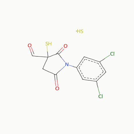 O=CC1(S)CC(=O)N(c2cc(Cl)cc(Cl)c2)C1=O.[SH]